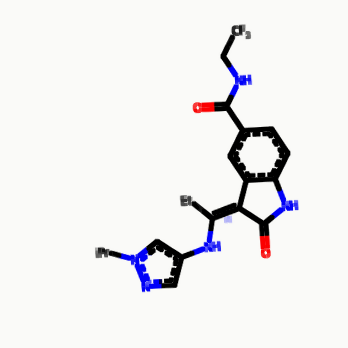 CC/C(Nc1cnn(C(C)C)c1)=C1/C(=O)Nc2ccc(C(=O)NCC(F)(F)F)cc21